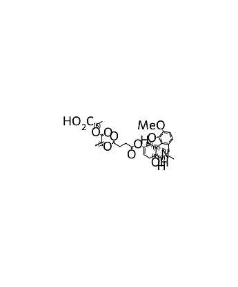 COc1ccc2c3c1O[C@@H]1C(OC(=O)CCC(=O)O[C@@H](C)C(=O)O[C@@H](C)C(=O)O)=CC[C@]4(O)[C@H](C2)N(C)CC[C@@]314